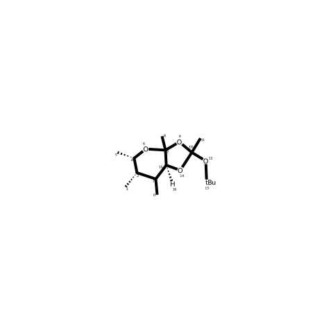 CC1[C@H](C)[C@H](C)OC2(C)OC(C)(OC(C)(C)C)O[C@@H]12